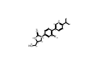 CC(C)c1ccc(-c2ccc(N3CC(CO)OC3=O)cc2F)cn1